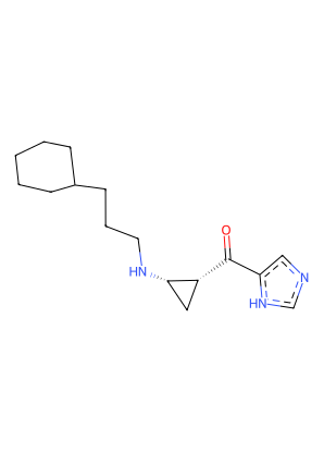 O=C(c1cnc[nH]1)[C@@H]1C[C@@H]1NCCCC1CCCCC1